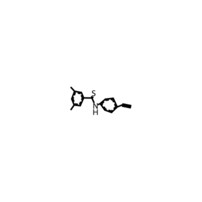 C#Cc1ccc(NC(=S)c2cc(C)cc(C)c2)cc1